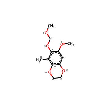 COCOc1c(OC)cc2c(c1C)OCCO2